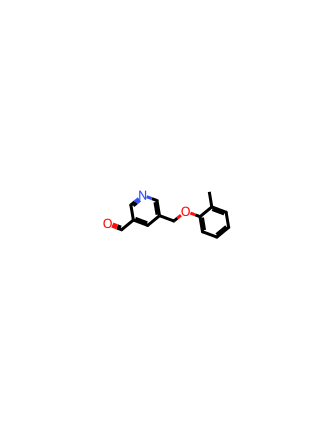 Cc1ccccc1OCc1cncc(C=O)c1